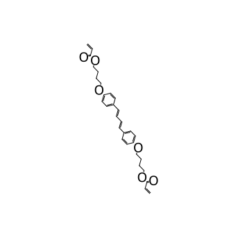 C=CC(=O)OCCCCOc1ccc(C=CC=Cc2ccc(OCCCCOC(=O)C=C)cc2)cc1